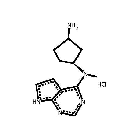 CN(c1ncnc2[nH]ccc12)[C@H]1CC[C@@H](N)C1.Cl